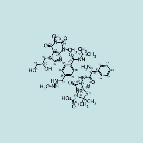 CC1(C)S[C@@H]2[C@H](NC(=O)[C@H](N)c3ccccc3)C(=O)N2[C@H]1C(=O)O.CNNCc1ccc(C(=O)NC(C)C)cc1.Cn1c(=O)c2c(ncn2CC(O)CO)n(C)c1=O